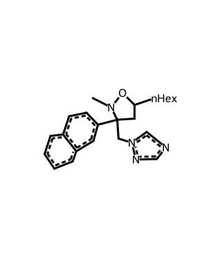 CCCCCCC1CC(Cn2cncn2)(c2ccc3ccccc3c2)N(C)O1